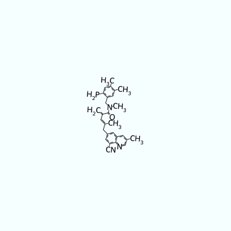 C=C(/C=C(\C)Cc1cc(C#N)c2ncc(C)cc2c1)C(=O)N(C)Cc1cc(C)c(C)cc1P